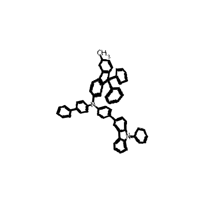 CC1C=CC2=C(C1)c1ccc(N(c3ccc(-c4ccccc4)cc3)c3ccc(-c4ccc5c(c4)c4ccccc4n5C4=CC=CCC4)cc3)cc1C2(c1ccccc1)c1ccccc1